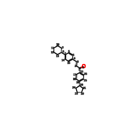 O=C(C=Cc1ccc(C2CCCCC2)cc1)c1ccc(C2CCCC2)cc1